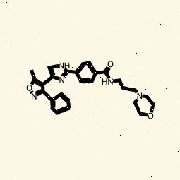 Cc1onc(-c2ccccc2)c1-c1c[nH]c(-c2ccc(C(=O)NCCCN3CCOCC3)cc2)n1